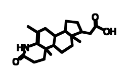 CC1=C2NC(=O)CCC2(C)C2CCC3(C)C(CC(=O)O)CCC3C2C1